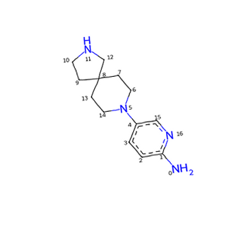 Nc1ccc(N2CCC3(CCNC3)CC2)cn1